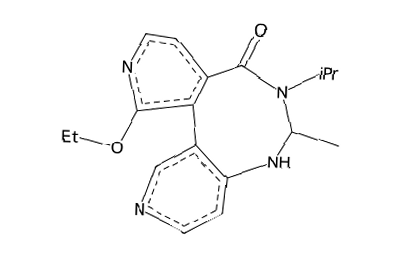 CCOc1nccc2c1-c1cnccc1NC(C)N(C(C)C)C2=O